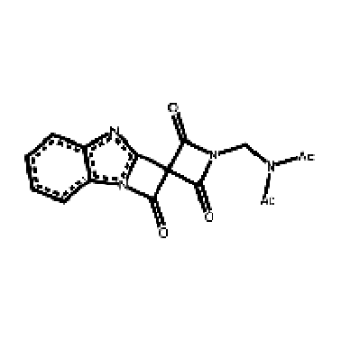 CC(=O)N(CN1C(=O)C2(C1=O)C(=O)n1c2nc2ccccc21)C(C)=O